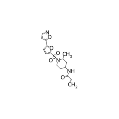 C=CC(=O)NC1CCN(S(=O)(=O)c2ccc(-c3ccno3)o2)C(C)C1